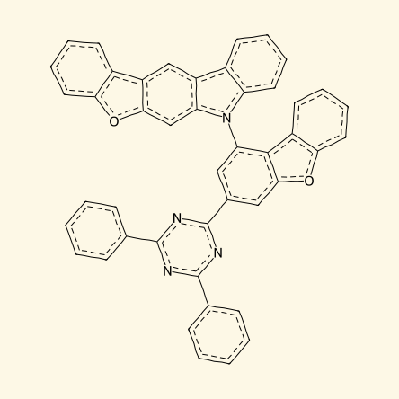 c1ccc(-c2nc(-c3ccccc3)nc(-c3cc(-n4c5ccccc5c5cc6c(cc54)oc4ccccc46)c4c(c3)oc3ccccc34)n2)cc1